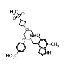 COc1cc(C)c2[nH]ccc2c1CN1CC[C@@H](N2CC(S(C)(=O)=O)C2)C[C@H]1c1ccc(C(=O)O)cc1